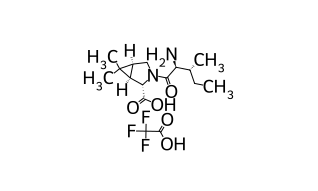 CC[C@@H](C)[C@H](N)C(=O)N1C[C@H]2[C@@H]([C@H]1C(=O)O)C2(C)C.O=C(O)C(F)(F)F